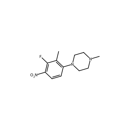 Cc1c(N2CCN(C)CC2)ccc([N+](=O)[O-])c1F